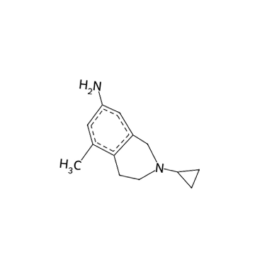 Cc1cc(N)cc2c1CCN(C1CC1)C2